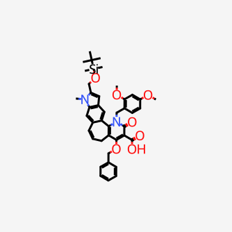 COc1ccc(Cn2c3c(c(OCc4ccccc4)c(C(=O)O)c2=O)CC=Cc2cc4c(cc2-3)cc(CO[Si](C)(C)C(C)(C)C)n4C)c(OC)c1